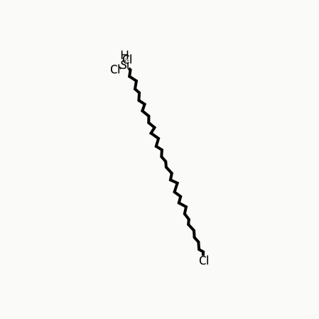 ClCCCCCCCCCCCCCCCCCCCCCCCCCCCCCCCCC[SiH](Cl)Cl